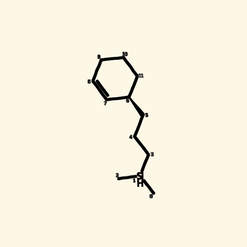 C[SiH](C)CCC[C@H]1C=CCCC1